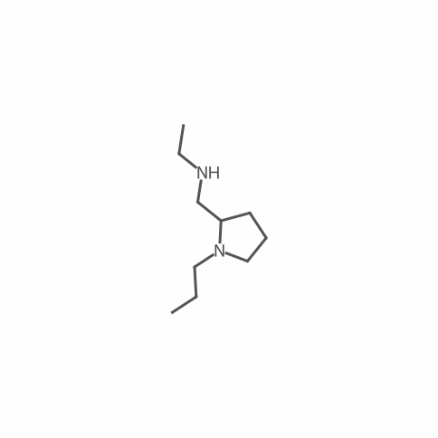 CCCN1CCCC1CNCC